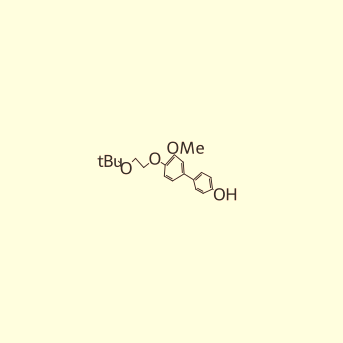 COc1cc(-c2ccc(O)cc2)ccc1OCCOC(C)(C)C